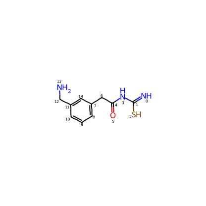 N=C(S)NC(=O)Cc1cccc(CN)c1